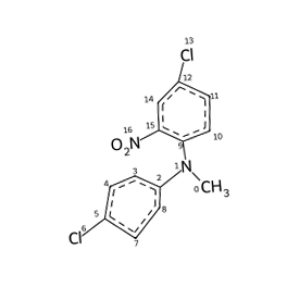 CN(c1ccc(Cl)cc1)c1ccc(Cl)cc1[N+](=O)[O-]